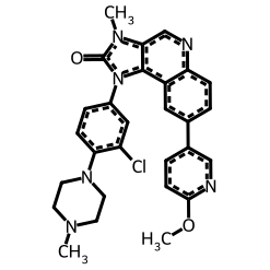 COc1ccc(-c2ccc3ncc4c(c3c2)n(-c2ccc(N3CCN(C)CC3)c(Cl)c2)c(=O)n4C)cn1